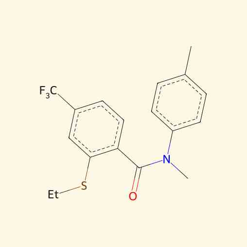 CCSc1cc(C(F)(F)F)ccc1C(=O)N(C)c1ccc(C)cc1